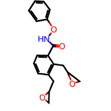 O=C(NOc1ccccc1)c1cccc(CC2CO2)c1CC1CO1